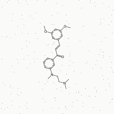 COc1cc(C=CC(=O)c2cccc(N(C)CCN(C)C)c2)cc(OC)c1